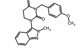 COc1ccc(CN2C(=O)CCN(c3c4ccccc4nn3C)C2=O)cc1